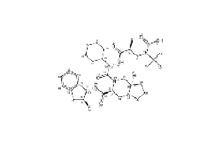 C[C@@H](CN(C(=O)O)C(C)(C)C)C(=O)N[C@H](C(=O)N1C[C@H]2CCCN2C[C@H]1C(=O)N[C@H]1c2ccccc2C[C@@H]1F)C1CCCCC1